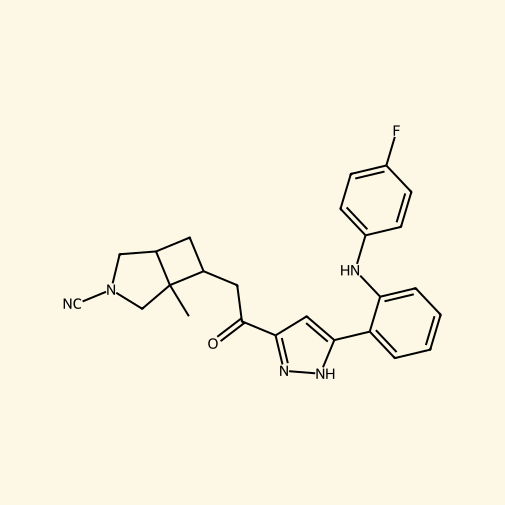 CC12CN(C#N)CC1CC2CC(=O)c1cc(-c2ccccc2Nc2ccc(F)cc2)[nH]n1